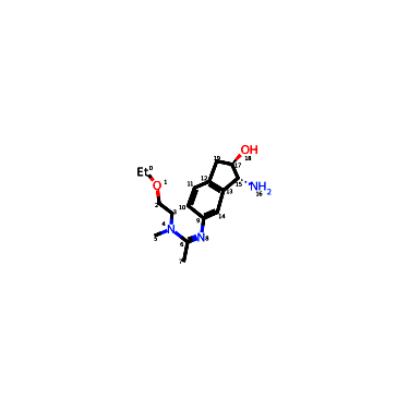 CCOCCN(C)C(C)=Nc1ccc2c(c1)[C@@H](N)[C@H](O)C2